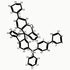 c1ccc(-c2ccc(N(c3ccccc3)c3ccc4c(c3)C3(c5ccccc5Oc5cc(-c6ccccc6)ccc53)c3ccccc3-4)cc2)cc1